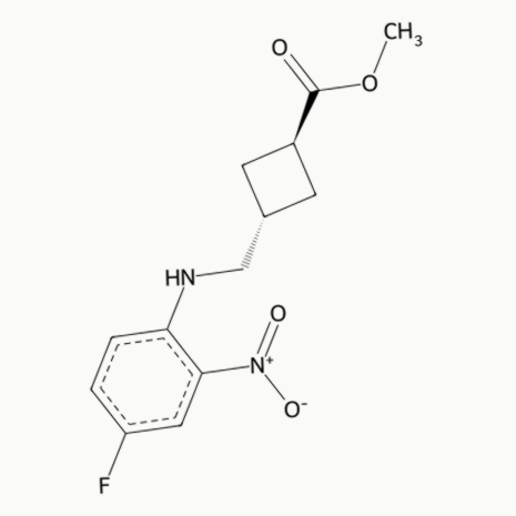 COC(=O)[C@H]1C[C@H](CNc2ccc(F)cc2[N+](=O)[O-])C1